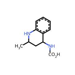 CC1CC(NC(=O)O)c2ccccc2N1